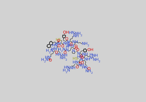 N=C(N)NCCC[C@H](NC(=O)[C@H](CS)NC(=O)[C@H](CCCNC(N)=O)NC(=O)[C@H](CCCNC(=N)N)NC(=O)[C@H](Cc1ccc(O)cc1)NC(=O)[C@@H]1CCCN1C(=O)[C@@H](CCCNC(N)=O)NC(=O)[C@H](CCCCN)NC(=O)[C@H](CCCNC(=N)N)NC(=O)[C@H](Cc1ccc(O)cc1)NC(=O)[C@H](CS)NC(=O)[C@H](Cc1ccc2ccccc2c1)NC(=O)[C@H](CCCNC(=N)N)NC(=O)[C@@H](N)CCCNC(N)=O)C(N)=O